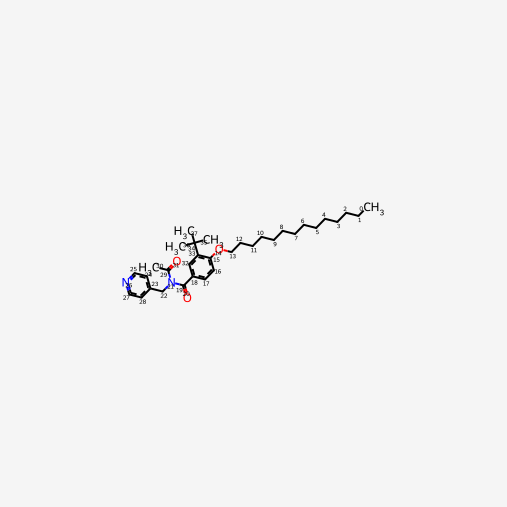 CCCCCCCCCCCCCCOc1ccc(C(=O)N(Cc2ccncc2)C(C)=O)cc1C(C)(C)C